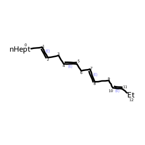 [CH2]CCCCCC/C=C/C/C=C/C/C=C/C/C=C/CC